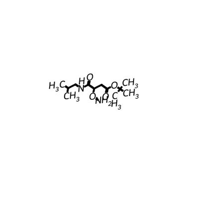 CC(C)CNC(=O)C(CC(=O)OC(C)(C)C)ON